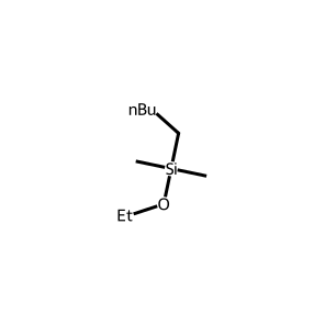 [CH2]CCCC[Si](C)(C)OCC